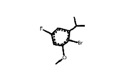 COc1cc(F)cc(C(C)C)c1Br